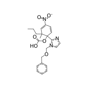 CCCC1(C)C=C([N+](=O)[O-])C=CC1(OC(=O)O)c1nccn1COCc1ccccc1